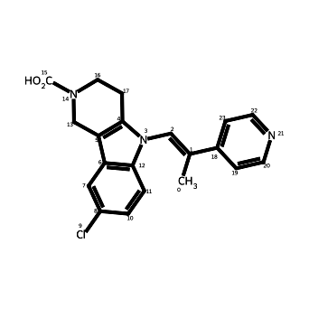 CC(=Cn1c2c(c3cc(Cl)ccc31)CN(C(=O)O)CC2)c1ccncc1